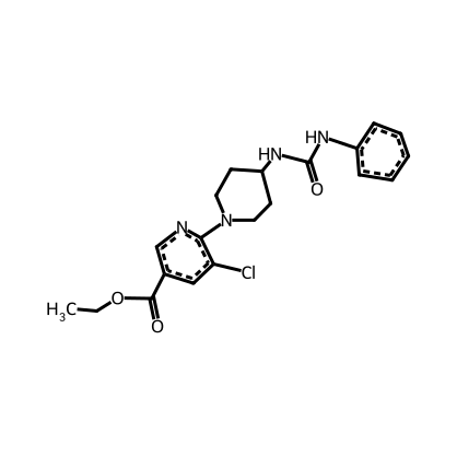 CCOC(=O)c1cnc(N2CCC(NC(=O)Nc3ccccc3)CC2)c(Cl)c1